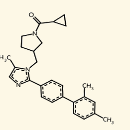 Cc1ccc(-c2ccc(-c3ncc(C)n3CC3CCN(C(=O)C4CC4)C3)cc2)c(C)c1